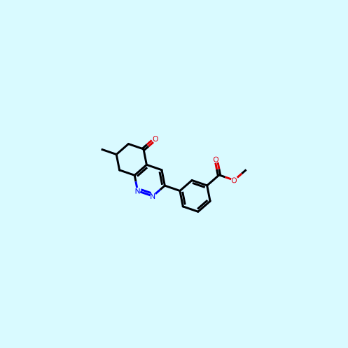 COC(=O)c1cccc(-c2cc3c(nn2)CC(C)CC3=O)c1